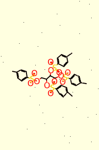 Cc1ccc(S(=O)(=O)OCC(OS(=O)(=O)c2ccc(C)cc2)C(COS(=O)(=O)c2ccc(C)cc2)OS(=O)(=O)c2ccc(C)cc2)cc1